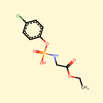 CCOC(=O)CNP(=O)(O)Oc1ccc(Cl)cc1